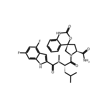 CC(C)C[C@@H](C(=O)N1C[C@]2(C[C@H]1C(N)=O)OC(=O)Nc1ccccc12)N(C)C(=O)c1cc2c(F)cc(F)cc2[nH]1